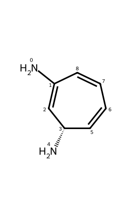 NC1=C[C@@H](N)C=CC=C1